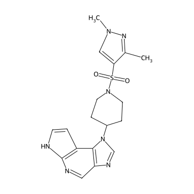 Cc1nn(C)cc1S(=O)(=O)N1CCC(n2cnc3cnc4[nH]ccc4c32)CC1